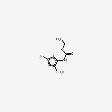 CC(C)(C)c1nc(C(=O)O)c(NC(=O)OCC(Cl)(Cl)Cl)s1